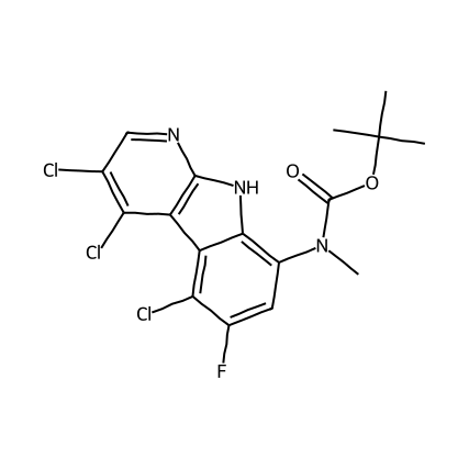 CN(C(=O)OC(C)(C)C)c1cc(F)c(Cl)c2c1[nH]c1ncc(Cl)c(Cl)c12